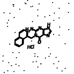 Cl.Nc1nc2[nH]cnc2c(=O)n1Cc1cccc2ccccc12